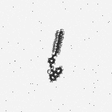 O=C(OCc1ccc(CCC(F)(F)C(F)(F)C(F)(F)C(F)(F)C(F)(F)C(F)(F)C(F)(F)C(F)(F)F)cc1)c1c2ccccc2cc2ccccc12